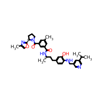 Cc1cc(C(=O)N[C@@H](C)CCc2ccc(NCc3cncc(C(C)C)c3)c(O)c2)cc(C(=O)N2CCC[C@@H]2c2nc(C)co2)c1